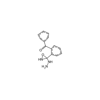 NNC1(c2ccccc2C(=O)c2ccccc2)NO1